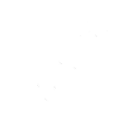 C=CCNc1nccc(-c2[nH]c(C3OCC(C)(C(=O)NC(C)C)CO3)nc2-c2ccc(F)cc2)n1